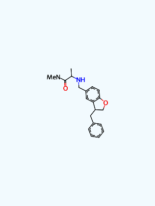 CNC(=O)C(C)NCc1ccc2c(c1)C(Cc1ccccc1)CO2